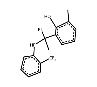 CCC(C)(Pc1ccccc1C(F)(F)F)c1cccc(C)c1O